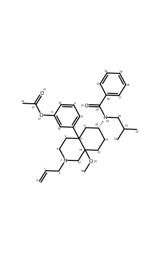 C=CCN1CCC2(c3cccc(OC(C)=O)c3)C[C@H](N(CC(C)C)C(=O)c3ccccc3)CCC2(OC)C1